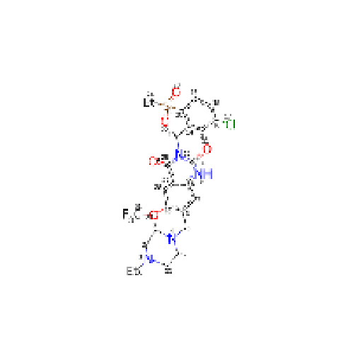 CCN1CCN(Cc2cc3[nH]c(=O)n(Cc4cc(Cl)ccc4S(=O)(=O)CC)c(=O)c3cc2OC(F)(F)F)CC1